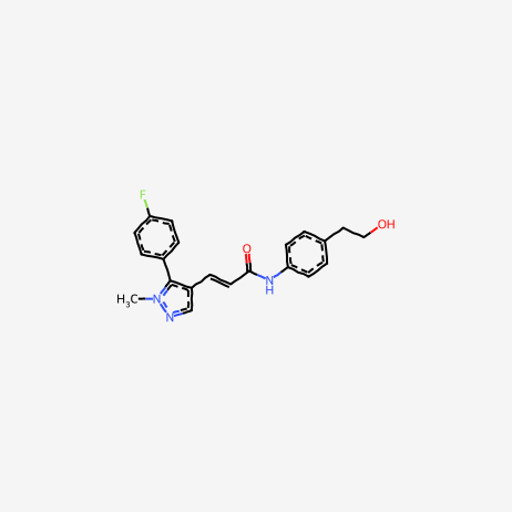 Cn1ncc(C=CC(=O)Nc2ccc(CCO)cc2)c1-c1ccc(F)cc1